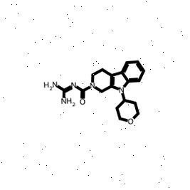 NC(N)=NC(=O)N1CCc2c(n(C3CCOCC3)c3ccccc23)C1